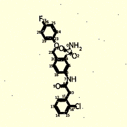 NS(=O)(=O)c1cc(NC(=O)Cc2ccccc2Cl)ccc1COc1ccc(F)cc1